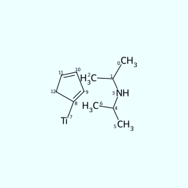 CC(C)NC(C)C.[Ti][C]1=CC=CC1